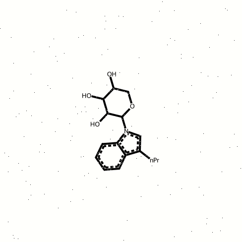 CCCc1cn(C2OCC(O)C(O)C2O)c2ccccc12